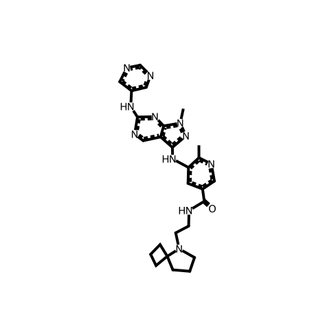 Cc1ncc(C(=O)NCCN2CCCC23CCC3)cc1Nc1nn(C)c2nc(Nc3cncnc3)ncc12